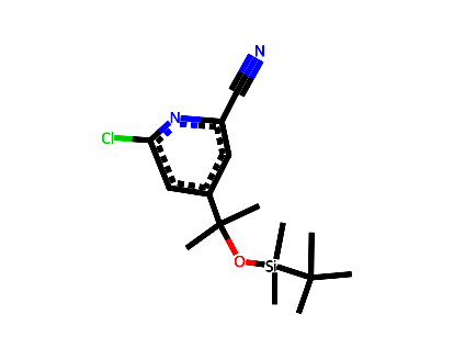 CC(C)(O[Si](C)(C)C(C)(C)C)c1cc(Cl)nc(C#N)c1